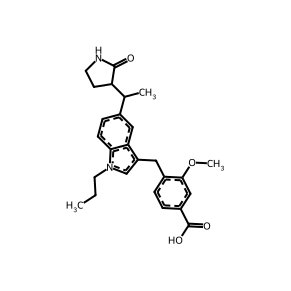 CCCn1cc(Cc2ccc(C(=O)O)cc2OC)c2cc(C(C)C3CCNC3=O)ccc21